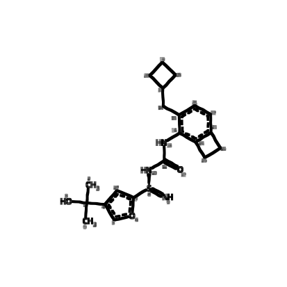 CC(C)(O)c1coc([S@](=N)NC(=O)Nc2c(CC3CCC3)ccc3c2CC3)c1